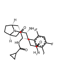 NC(=O)CC[C@H](NC(=O)C1CC1)C(=O)N1[C@@H]2CC[C@H]1C[C@H]([C@H](N)Cc1cc(F)c(F)cc1F)C2